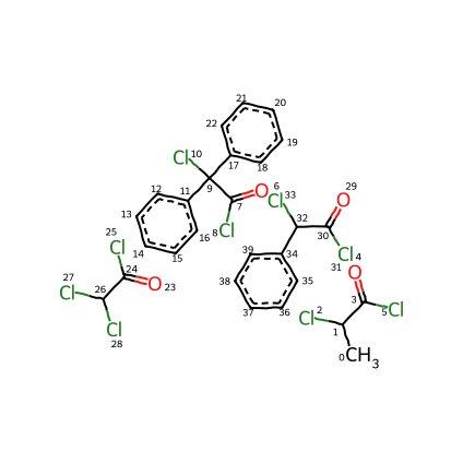 CC(Cl)C(=O)Cl.O=C(Cl)C(Cl)(c1ccccc1)c1ccccc1.O=C(Cl)C(Cl)Cl.O=C(Cl)C(Cl)c1ccccc1